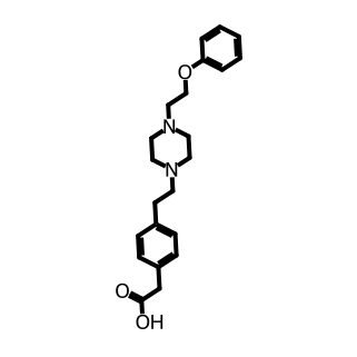 O=C(O)Cc1ccc(CCN2CCN(CCOc3ccccc3)CC2)cc1